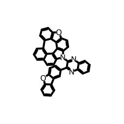 c1cc2c3c(c1)ccc1c3c3c4c(ccc3n1-c1nc3ccccc3nc1-c1ccc3oc5ccccc5c3c1)oc1cccc-2c14